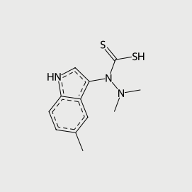 Cc1ccc2[nH]cc(N(C(=S)S)N(C)C)c2c1